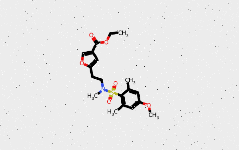 CCOC(=O)c1coc(CCN(C)S(=O)(=O)c2c(C)cc(OC)cc2C)c1